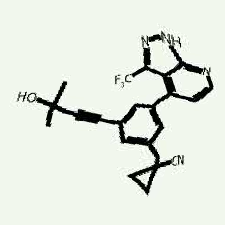 CC(C)(O)C#Cc1cc(-c2ccnc3[nH]nc(C(F)(F)F)c23)cc(C2(C#N)CC2)c1